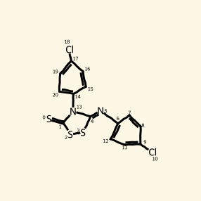 S=c1ssc(=Nc2ccc(Cl)cc2)n1-c1ccc(Cl)cc1